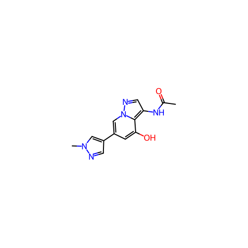 CC(=O)Nc1cnn2cc(-c3cnn(C)c3)cc(O)c12